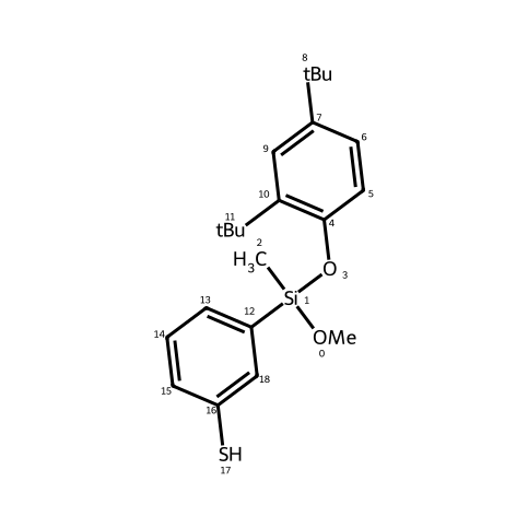 CO[Si](C)(Oc1ccc(C(C)(C)C)cc1C(C)(C)C)c1cccc(S)c1